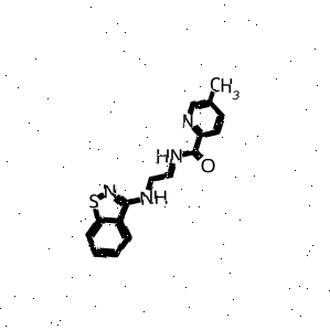 Cc1ccc(C(=O)NCCNc2nsc3ccccc23)nc1